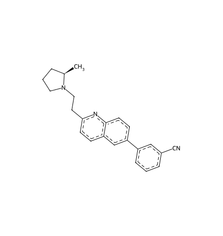 C[C@@H]1CCCN1CCc1ccc2cc(-c3cccc(C#N)c3)ccc2n1